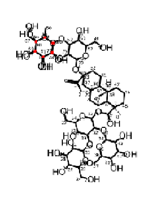 C=C1C[C@@]23CCC4[C@](C)(C(O)OC5OC(CO)C(O)C(OC6OC(CO)C(O)C(O)C6O)C5OC5OC(CO)C(O)C(O)C5O)CCC[C@@]4(C)[C@@H]2CC[C@]1(OC1OC(CO)C(O)C(OC2OC(CO)C(O)C(O)C2O)C1OC1OC(C)C(O)C(O)C1O)C3